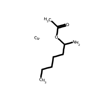 CCCCCC(N)OC(C)=O.[Cu]